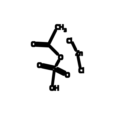 CC(=O)OS(=O)(=O)O.[Cl][Zn][Cl]